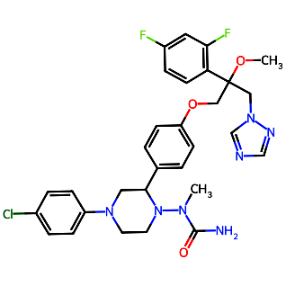 COC(COc1ccc(C2CN(c3ccc(Cl)cc3)CCN2N(C)C(N)=O)cc1)(Cn1cncn1)c1ccc(F)cc1F